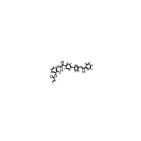 C=CC(=O)Oc1cccc(CNC(=O)c2ccc(-c3nc(CNc4ccccc4)cs3)cc2)c1C